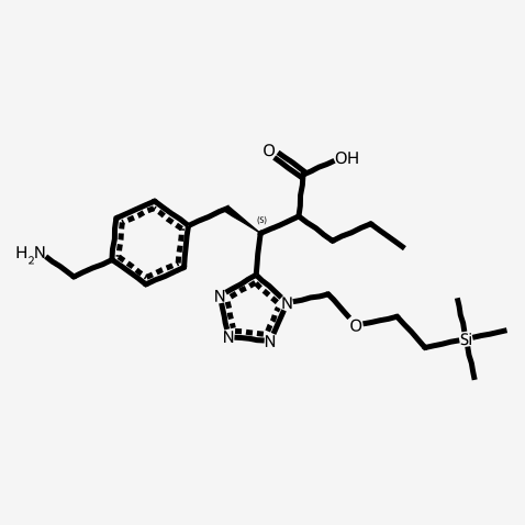 CCCC(C(=O)O)[C@H](Cc1ccc(CN)cc1)c1nnnn1COCC[Si](C)(C)C